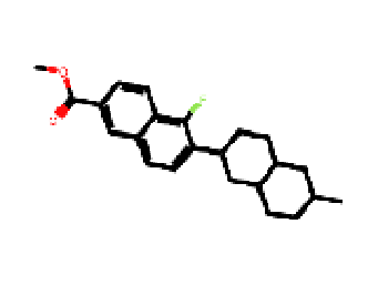 COC(=O)c1ccc2c(F)c(C3CCC4CC(C)CCC4C3)ccc2c1